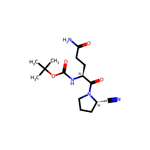 CC(C)(C)OC(=O)N[C@@H](CCC(N)=O)C(=O)N1CCC[C@H]1C#N